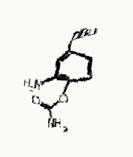 CC(C)(C)c1ccc(OC(N)=O)c(N)c1